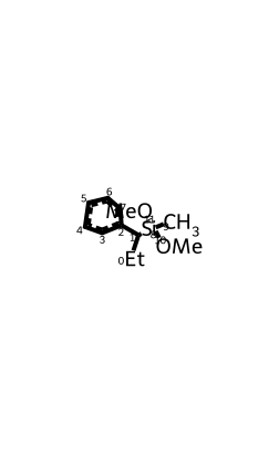 CCC(c1ccccc1)[Si](C)(OC)OC